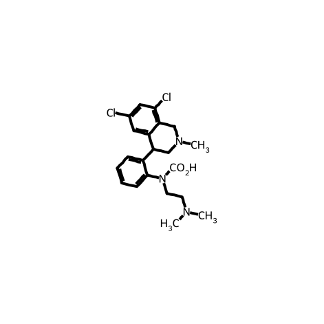 CN(C)CCN(C(=O)O)c1ccccc1C1CN(C)Cc2c(Cl)cc(Cl)cc21